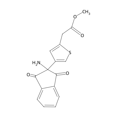 COC(=O)Cc1cc(C2(N)C(=O)c3ccccc3C2=O)cs1